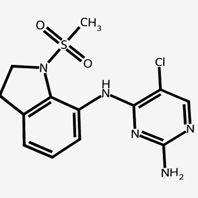 CS(=O)(=O)N1CCc2cccc(Nc3nc(N)ncc3Cl)c21